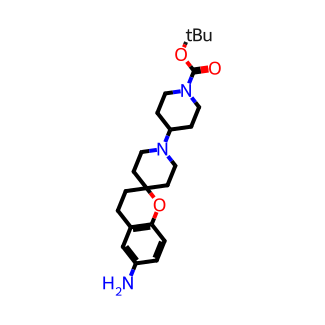 CC(C)(C)OC(=O)N1CCC(N2CCC3(CCc4cc(N)ccc4O3)CC2)CC1